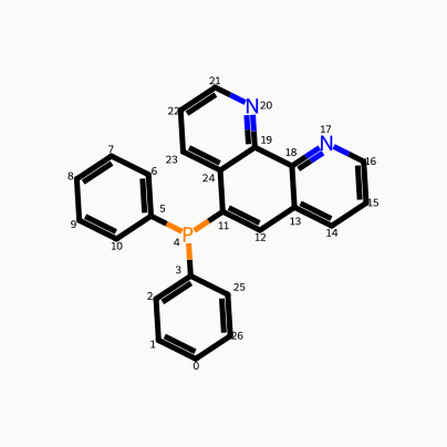 c1ccc(P(c2ccccc2)c2cc3cccnc3c3ncccc23)cc1